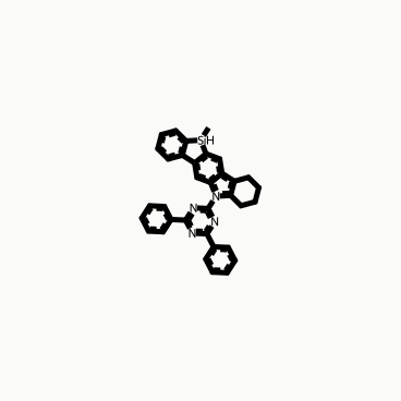 C[SiH]1c2ccccc2-c2cc3c(cc21)c1c(n3-c2nc(-c3ccccc3)nc(-c3ccccc3)n2)CCCC1